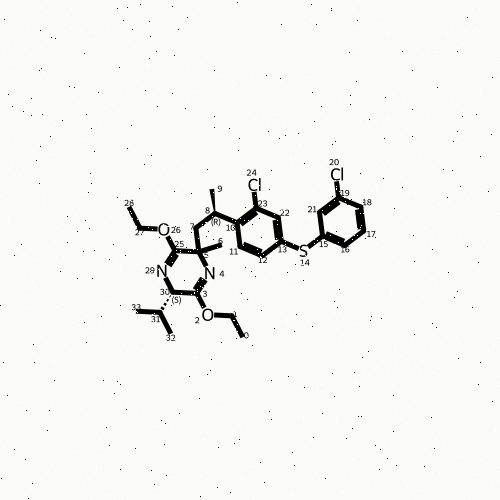 CCOC1=NC(C)(C[C@@H](C)c2ccc(Sc3cccc(Cl)c3)cc2Cl)C(OCC)=N[C@H]1C(C)C